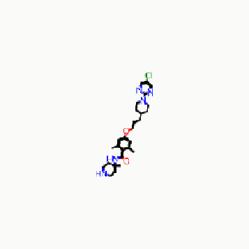 Cc1cc(OCCCC2CCN(c3ncc(Cl)cn3)CC2)cc(C)c1C(=O)NC1(C)CCNCC1